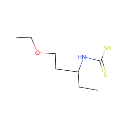 CCOCCC(CC)NC(=S)S